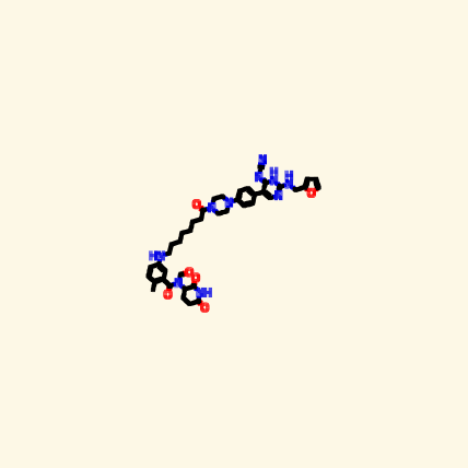 Cc1ccc(NCCCCCCCC(=O)N2CCN(c3ccc(-c4cnc(NCc5ccco5)[nH]/c4=N\C#N)cc3)CC2)cc1C(=O)N(C=O)C1CCC(=O)NC1=O